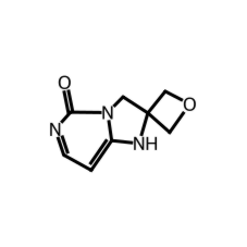 O=c1nccc2n1CC1(COC1)N2